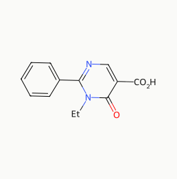 CCn1c(-c2ccccc2)ncc(C(=O)O)c1=O